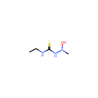 CCNC(=S)NN(C)O